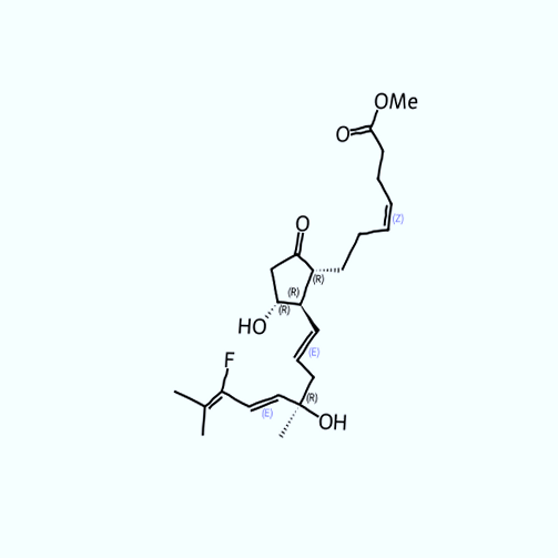 COC(=O)CC/C=C\CC[C@H]1C(=O)C[C@@H](O)[C@@H]1/C=C/C[C@@](C)(O)/C=C/C(F)=C(C)C